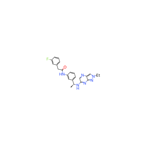 CCn1cc2ncc(N[C@@H](C)c3cccc(NC(=O)Cc4cccc(F)c4)c3)nc2n1